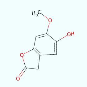 COc1cc2c(cc1O)CC(=O)O2